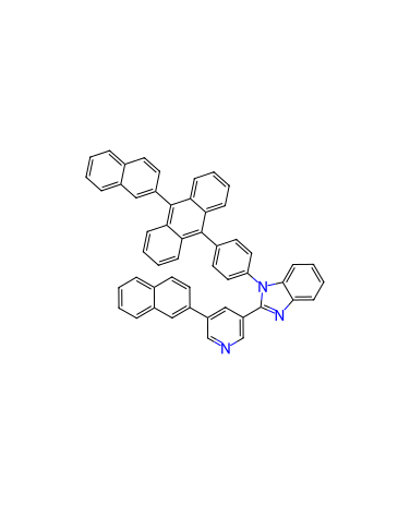 c1ccc2cc(-c3cncc(-c4nc5ccccc5n4-c4ccc(-c5c6ccccc6c(-c6ccc7ccccc7c6)c6ccccc56)cc4)c3)ccc2c1